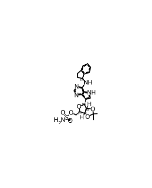 CC1(C)O[C@@H]2[C@H](O1)[C@@H](COS(N)(=O)=O)O[C@H]2c1c[nH]c2c(N[C@H]3CCc4ccccc43)ncnc12